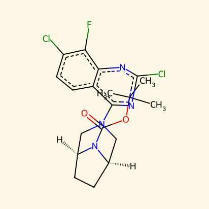 CC(C)(C)OC(=O)N1[C@@H]2CC[C@H]1CN(c1nc(Cl)nc3c(F)c(Cl)ccc13)C2